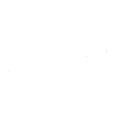 CCOC(=O)c1cc(C2=C(c3cc(Cl)cnc3OCc3ccc(F)c(F)c3F)CCC2)ccc1F